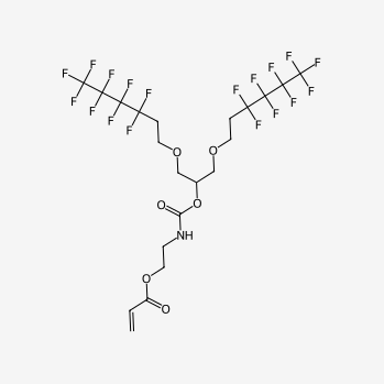 C=CC(=O)OCCNC(=O)OC(COCCC(F)(F)C(F)(F)C(F)(F)C(F)(F)F)COCCC(F)(F)C(F)(F)C(F)(F)C(F)(F)F